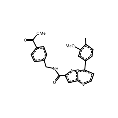 COC(=O)c1ccc(CNC(=O)c2cc3nccc(-c4ccc(C)c(OC)c4)n3n2)cc1